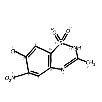 CC1=Nc2cc([N+](=O)[O-])c(Cl)cc2S(=O)(=O)N1